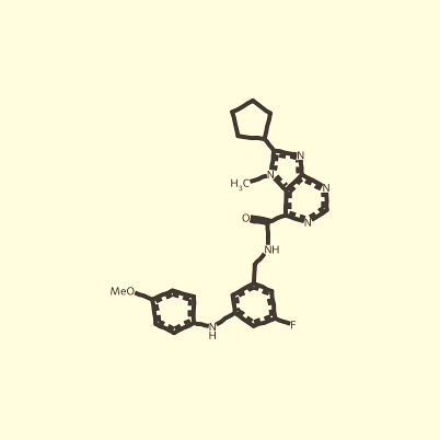 COc1ccc(Nc2cc(F)cc(CNC(=O)c3ncnc4nc(C5CCCC5)n(C)c34)c2)cc1